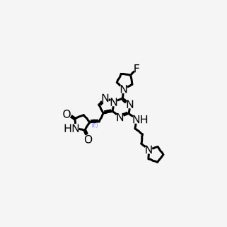 O=C1C/C(=C\c2cnn3c(N4CCC(F)C4)nc(NCCCN4CCCC4)nc23)C(=O)N1